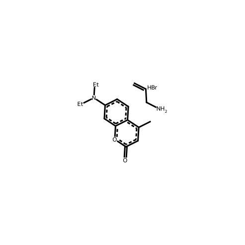 Br.C=CCN.CCN(CC)c1ccc2c(C)cc(=O)oc2c1